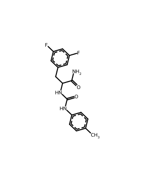 Cc1ccc(NC(=O)NC(Cc2cc(F)cc(F)c2)C(N)=O)cc1